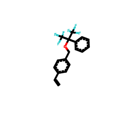 C=Cc1ccc(COC(c2ccccc2)(C(F)(F)F)C(F)(F)F)cc1